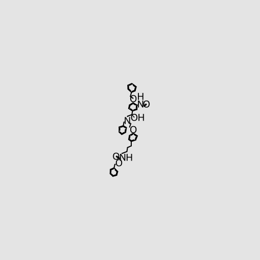 O=CNc1cc([C@@H](O)CN(CCOc2ccc(CCCCNC(=O)OCc3ccccc3)cc2)Cc2ccccc2)ccc1OCc1ccccc1